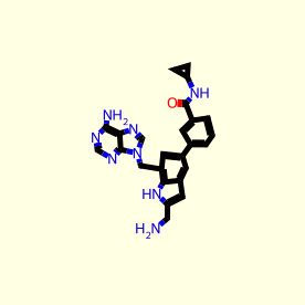 NCc1cc2cc(-c3cccc(C(=O)NC4CC4)c3)cc(Cn3cnc4c(N)ncnc43)c2[nH]1